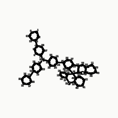 c1ccc(-c2ccc(N(c3ccc(-c4ccccc4)cc3)c3ccc(-c4ccc5c(c4)C4(c6ccccc6Sc6ccccc64)c4cc6ccccc6cc4-5)cc3)cc2)cc1